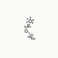 O=C(/C=C/c1cccc(C(=O)N/N=C/c2c(F)c(F)c(F)c(F)c2F)c1)NO